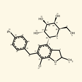 CC1Cc2c([C@H]3O[C@H](CO)[C@H](O)[C@H](O)[C@H]3O)cc(Cc3ccc(C(C)C)cc3)c(Cl)c2O1